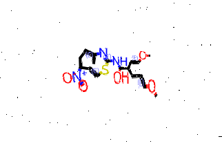 CO/C=C/CC(/C=C/OC)C(O)N/C1=N/C(C)=C/CC([N+](=O)[O-])/C=C/S1